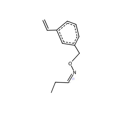 C=Cc1cccc(CO/N=[C]\CC)c1